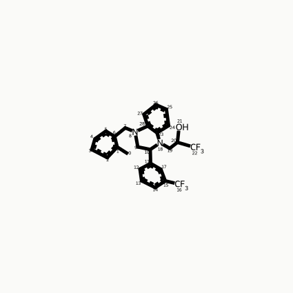 Cc1ccccc1CN1CC(c2cccc(C(F)(F)F)c2)N(CC(O)C(F)(F)F)c2ccccc21